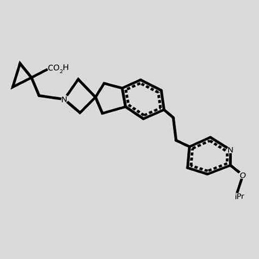 CC(C)Oc1ccc(CCc2ccc3c(c2)CC2(C3)CN(CC3(C(=O)O)CC3)C2)cn1